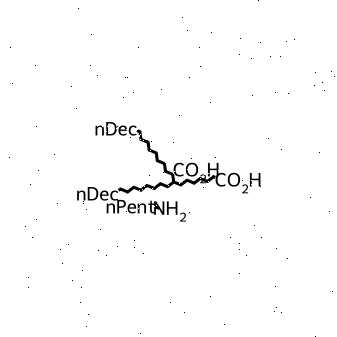 CCCCCCCCCCCCCCCCCCC(CCCCCCC(=O)O)C(CCCCCCCCCCCCCCCCCC)C(=O)O.CCCCCN